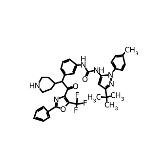 Cc1ccc(-n2nc(C(C)(C)C)cc2NC(=O)Nc2cccc(C(C(=O)c3nc(-c4ccccc4)oc3C(F)(F)F)C3CCNCC3)c2)cc1